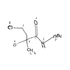 CCCCNC(=O)C(C)(Cl)CCl